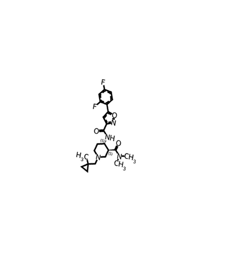 CN(C)C(=O)[C@H]1CN(CC2(C)CC2)CC[C@@H]1NC(=O)c1cc(-c2ccc(F)cc2F)on1